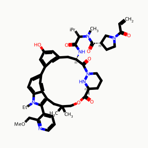 C=CC(=O)N1CC[C@H](C(=O)N(C)C(C(=O)N[C@H]2Cc3cc(O)cc(c3)-c3ccc4c(c3)c(c(-c3cccnc3COC)n4CC)CC(C)(C)COC(=O)[C@@H]3CCCN(N3)C2=O)C(C)C)C1